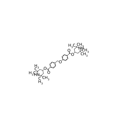 CC1(C)CC(OC(=O)c2ccc(COc3ccc(C(=O)OC4CC(C)(C)NC(C)(C)C4)cc3)cc2)CC(C)(C)N1